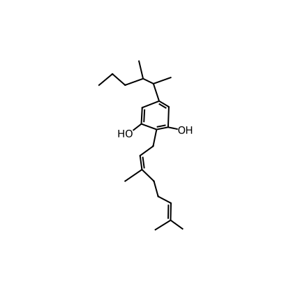 CCCC(C)C(C)c1cc(O)c(CC=C(C)CCC=C(C)C)c(O)c1